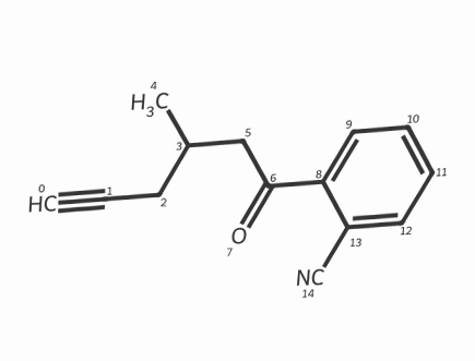 C#CCC(C)CC(=O)c1ccccc1C#N